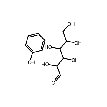 O=CC(O)C(O)C(O)C(O)CO.Oc1ccccc1